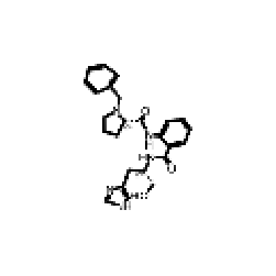 O=C(N[C@H](CO)Cc1c[nH]cn1)c1ccccc1NC(=O)[C@@H]1CCCN1Cc1ccccc1